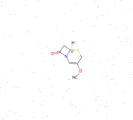 N#COC1=CN2C(=O)C[C@H]2SC1